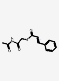 CC(=O)NC(=O)CSC(=O)/C=C/c1ccccc1